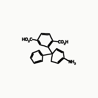 NC1=CCC(c2ccccc2)(c2cc(C(=O)O)ccc2C(=O)O)C=C1